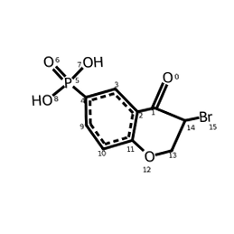 O=C1c2cc(P(=O)(O)O)ccc2OCC1Br